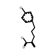 C=C(CCCc1ccc(Cl)cc1)C(=O)Cl